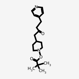 CC(C)(C)C(=O)ON1CCC(CC(=O)CCc2ccncc2)CC1